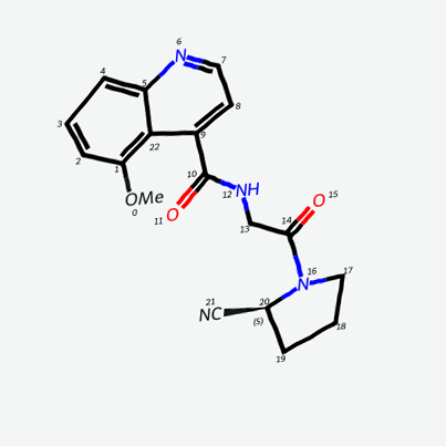 COc1cccc2nccc(C(=O)NCC(=O)N3CCC[C@H]3C#N)c12